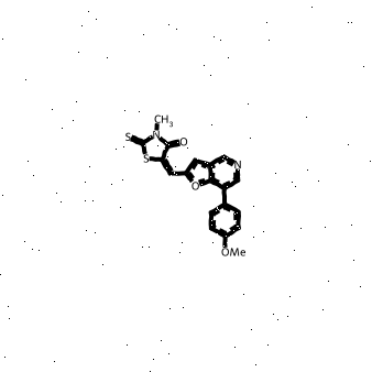 COc1ccc(-c2cncc3cc(C=C4SC(=S)N(C)C4=O)oc23)cc1